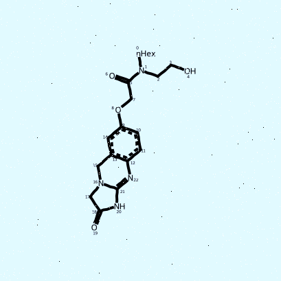 CCCCCCN(CCO)C(=O)COc1ccc2c(c1)CN1CC(=O)NC1=N2